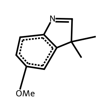 COc1ccc2c(c1)C(C)(C)C=N2